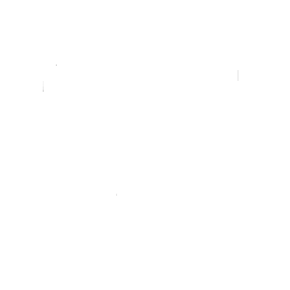 FC(F)(F)c1ccc(-c2cc(-c3ccc(C(F)(F)F)cc3)c3ccc4c5oc6ccccc6c5cc5ccc2c3c54)cc1